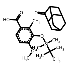 COc1ccc(C(=O)O)c(C)c1O[Si](C)(C)C(C)(C)C.O=C1C2CC3CC(C2)CC1C3